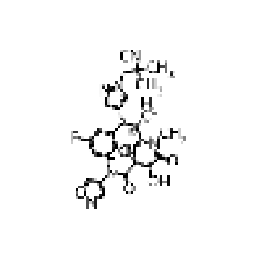 C[C@@H](c1nc(C(=O)Nc2cnoc2)c(O)c(=O)n1C)[C@@H](c1cnn(CC(C)(C)C#N)c1)c1cc(F)ccc1Cl